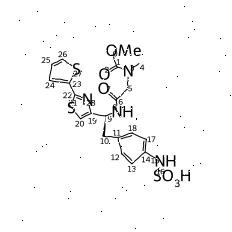 COC(=O)N(C)CC(=O)N[C@@H](Cc1ccc(NS(=O)(=O)O)cc1)c1csc(-c2cccs2)n1